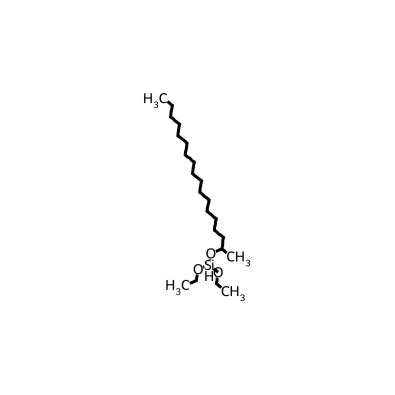 CCCCCCCCCCCCCCCCC(C)O[SiH](OCC)OCC